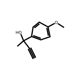 C#CC(C)(O)c1ccc(OC)cc1